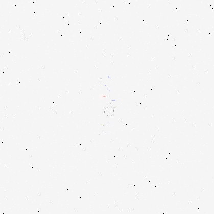 CC(C)(C)NC(=S)Nc1ccc2c(C(=O)N[C@@H]3CN4CCC3CC4)nsc2c1